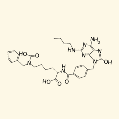 CCCCNc1nc(N)c2nc(O)n(Cc3ccc(C(=O)N[C@@H](CCCCN(Cc4ccccc4)C(=O)O)C(=O)O)cc3)c2n1